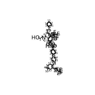 CN(CCO)CC[C@H](CSc1ccccc1)Nc1ccc(S(=O)(=O)NC(=O)c2ccc(N3CCN(CC4=C(C56CC(C(F)(F)F)(C5)C6)CC(C)(C)CC4)CC3)cc2)cc1S(=O)(=O)C(F)(F)F